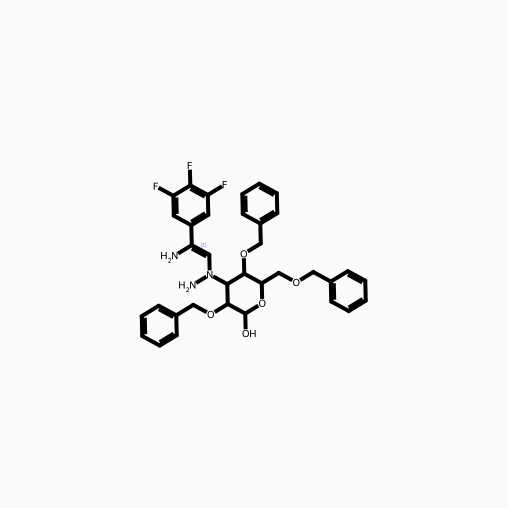 N/C(=C\N(N)C1C(OCc2ccccc2)C(O)OC(COCc2ccccc2)C1OCc1ccccc1)c1cc(F)c(F)c(F)c1